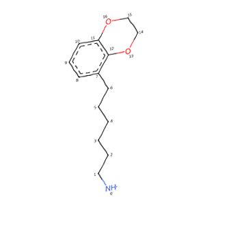 [NH]CCCCCCc1cccc2c1OCCO2